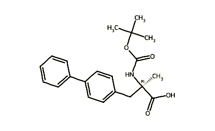 CC(C)(C)OC(=O)N[C@](C)(Cc1ccc(-c2ccccc2)cc1)C(=O)O